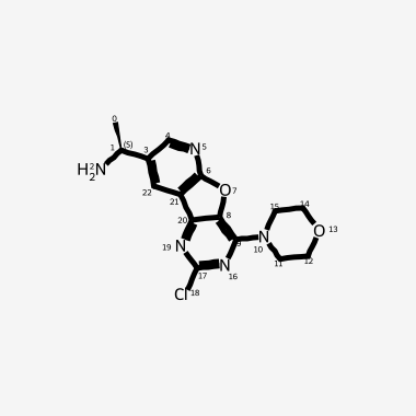 C[C@H](N)c1cnc2oc3c(N4CCOCC4)nc(Cl)nc3c2c1